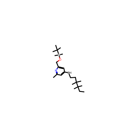 CCC(C)(C)C(C)(C)CCBc1cc(C)nc(CO[Si](C)(C)C(C)(C)C)c1